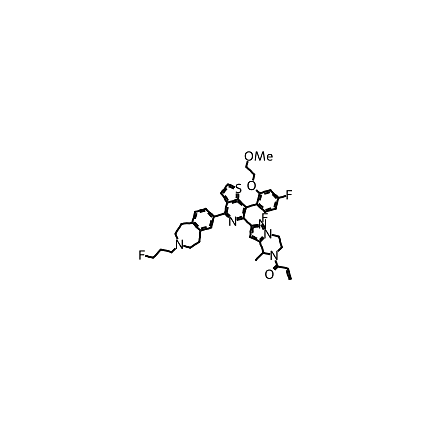 C=CC(=O)N1CCn2nc(-c3nc(-c4ccc5c(c4)CCN(CCCF)CC5)c4ccsc4c3-c3c(F)cc(F)cc3OCCOC)cc2C1C